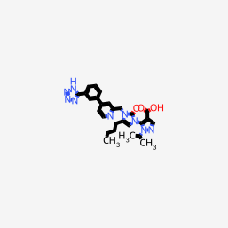 CCCCc1cn(-c2c(C(=O)O)cnn2C(C)C)c(=O)n1Cc1cc(-c2cccc(-c3nnn[nH]3)c2)ccn1